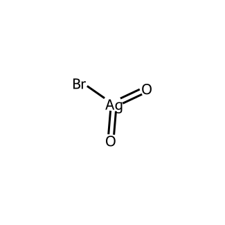 [O]=[Ag](=[O])[Br]